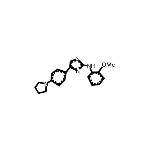 COc1ccccc1Nc1nc(-c2ccc(N3CCCC3)cc2)cs1